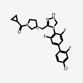 O=C(C1CC1)N1CC[C@@H](CC2=NNCN2c2c(F)cc(-c3ccc(Cl)cc3F)cc2F)C1